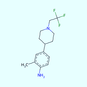 Cc1cc(C2CCN(CC(F)(F)F)CC2)ccc1N